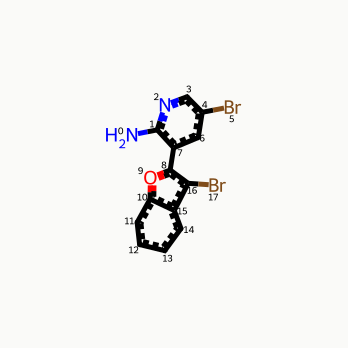 Nc1ncc(Br)cc1-c1oc2ccccc2c1Br